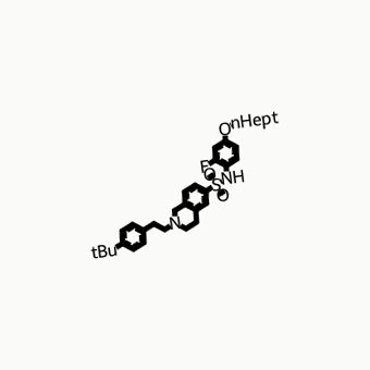 CCCCCCCOc1ccc(NS(=O)(=O)c2ccc3c(c2)CCN(CCc2ccc(C(C)(C)C)cc2)C3)c(F)c1